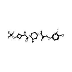 O=C(COc1ccc(Cl)c(F)c1)N[C@H]1CC[C@H](C(=O)NC2CC(OC(F)(F)F)C2)NC1